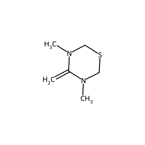 C=C1N(C)CSCN1C